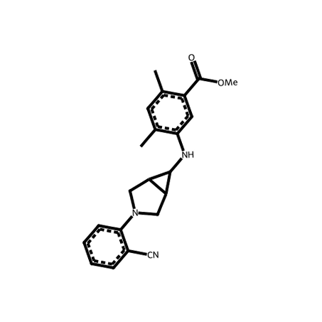 COC(=O)c1cc(NC2C3CN(c4ccccc4C#N)CC32)c(C)cc1C